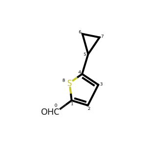 O=Cc1ccc(C2CC2)s1